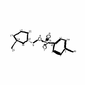 Cc1ccc(S(=O)(=O)OC[C@H]2CCC[C@H](C)C2)cc1